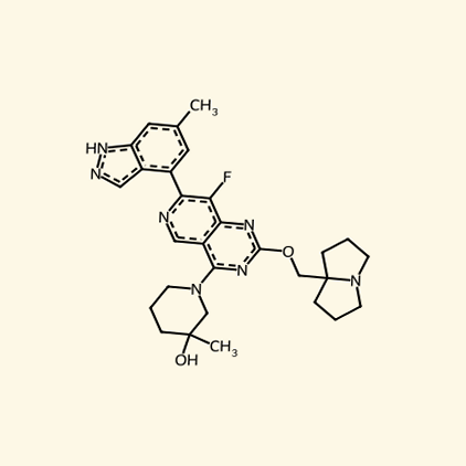 Cc1cc(-c2ncc3c(N4CCCC(C)(O)C4)nc(OCC45CCCN4CCC5)nc3c2F)c2cn[nH]c2c1